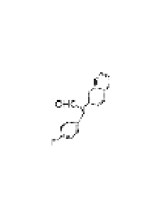 O=CN(Cc1ccc(F)cc1)c1ccc2ccccc2c1